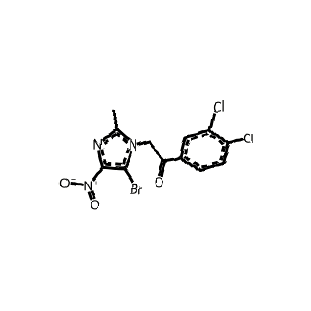 Cc1nc([N+](=O)[O-])c(Br)n1CC(=O)c1ccc(Cl)c(Cl)c1